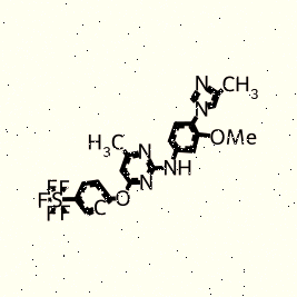 COc1cc(Nc2nc(C)cc(Oc3ccc(S(F)(F)(F)(F)F)cc3)n2)ccc1-n1cnc(C)c1